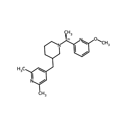 COc1cccc([C@H](C)N2CCCC(Cc3cc(C)nc(C)c3)C2)n1